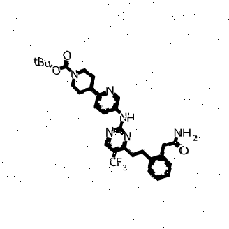 CC(C)(C)OC(=O)N1CCC(c2ccc(Nc3ncc(C(F)(F)F)c(CCc4ccccc4CC(N)=O)n3)cn2)CC1